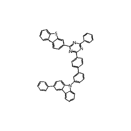 c1ccc(-c2ccc3c(c2)c2ccccc2n3-c2cccc(-c3ccc(-c4nc(-c5ccccc5)nc(-c5ccc6c(c5)sc5ccccc56)n4)cc3)c2)cc1